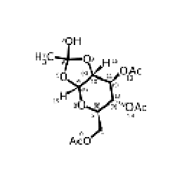 CC(=O)OC[C@H]1O[C@@H]2OC(C)(O)O[C@@H]2[C@@H](OC(C)=O)[C@@H]1OC(C)=O